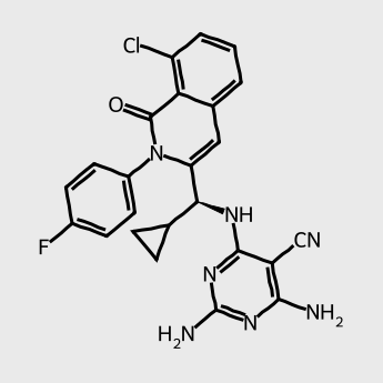 N#Cc1c(N)nc(N)nc1N[C@H](c1cc2cccc(Cl)c2c(=O)n1-c1ccc(F)cc1)C1CC1